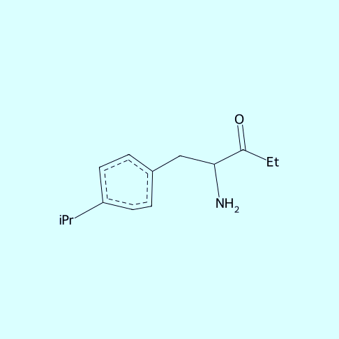 CCC(=O)C(N)Cc1ccc(C(C)C)cc1